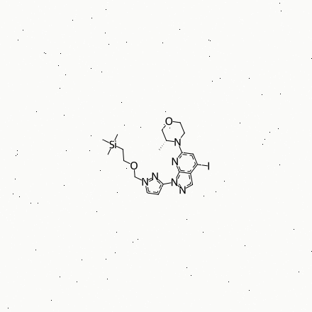 C[C@@H]1COCCN1c1cc(I)c2cnn(-c3ccn(COCC[Si](C)(C)C)n3)c2n1